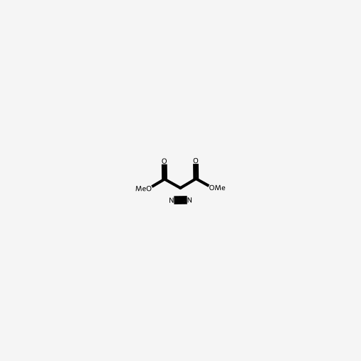 COC(=O)CC(=O)OC.N#N